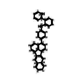 B1C=CC=CN1c1ccccc1Nc1ccc(-c2ccc3c4c(cccc24)-c2cc4ccccc4cc2-3)cc1